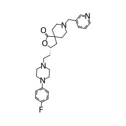 O=C1O[C@@H](CCN2CCN(c3ccc(F)cc3)CC2)CC12CCN(Cc1cccnc1)CC2